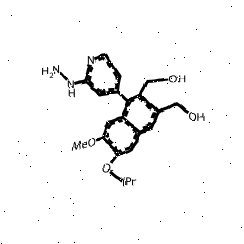 COc1cc2c(-c3ccnc(NN)c3)c(CO)c(CO)cc2cc1OC(C)C